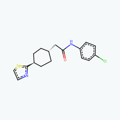 O=C(C[C@H]1CC[C@H](c2nccs2)CC1)Nc1ccc(Cl)cc1